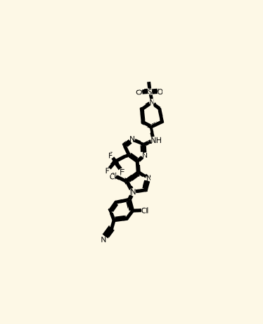 CS(=O)(=O)N1CCC(Nc2ncc(C(F)(F)F)c(-c3ncn(-c4ccc(C#N)cc4Cl)c3Cl)n2)CC1